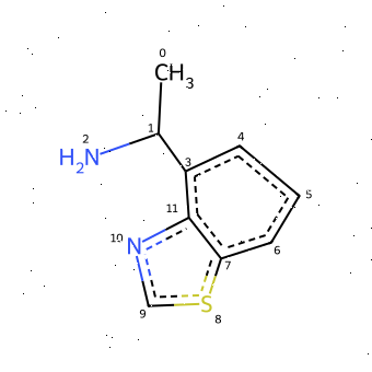 CC(N)c1cccc2scnc12